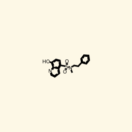 CN(CCc1ccccc1)S(=O)(=O)c1ccc(O)c2ncccc12